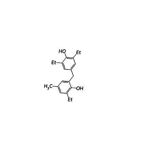 CCc1cc(Cc2cc(C)cc(CC)c2O)cc(CC)c1O